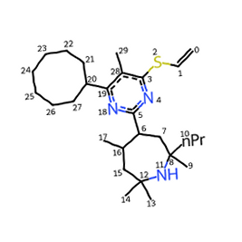 C=CSc1nc(C2CC(C)(CCC)NC(C)(C)CC2C)nc(C2CCCCCCC2)c1C